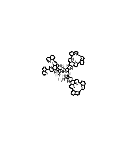 N=C1N/C(=N\c2n/c(=N\c3[nH]c(N)c4nc5c6ccc7nc6c6nc(ccc6c5nc34)c3cccc4ccc(nc43)c3ccc4cccc7c4n3)c3nc4c5ccc6nc5c5nc(ccc5c4nc23)c2cccc3ccc(nc32)c2ccc3cccc6c3n2)C2=C1C1(N)c3ccc(-c4cccc5cccnc45)nc3-c3nc(-c4cccc5cccnc45)ccc3C21N